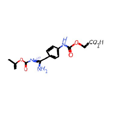 C=C(C)OC(=O)/N=C(\N)c1ccc(NC(=O)OCC(=O)O)cc1